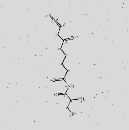 CC(C)C[C@H](N)C(=O)NC(=O)CCCCC(=O)CC=[N+]=[N-]